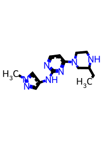 CCC1CN(c2ccnc(Nc3cnn(C)c3)n2)CCN1